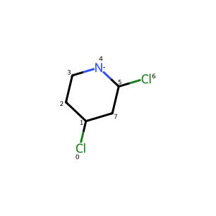 ClC1CC[N]C(Cl)C1